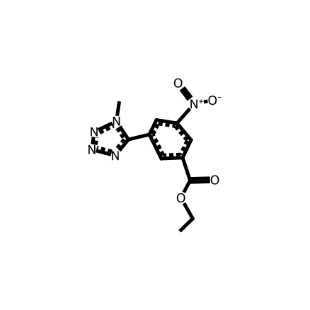 CCOC(=O)c1cc(-c2nnnn2C)cc([N+](=O)[O-])c1